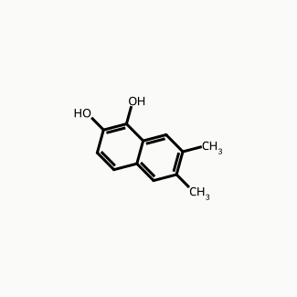 Cc1cc2ccc(O)c(O)c2cc1C